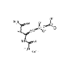 N=C(N)NC(=O)NC(=N)N.O=[N+]([O-])[O-].O=[N+]([O-])[O-].[Cu+2]